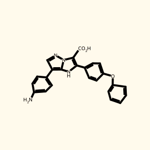 Nc1ccc(-c2cnn3c(C(=O)O)c(-c4ccc(Oc5ccccc5)cc4)[nH]c23)cc1